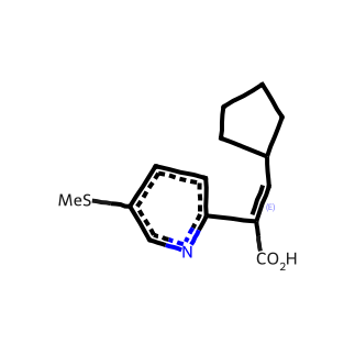 CSc1ccc(/C(=C\C2CCCC2)C(=O)O)nc1